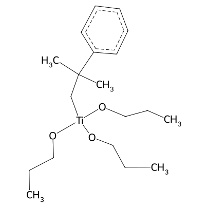 CCC[O][Ti]([CH2]C(C)(C)c1ccccc1)([O]CCC)[O]CCC